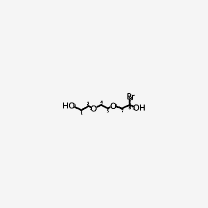 OCCOCCOCC(O)Br